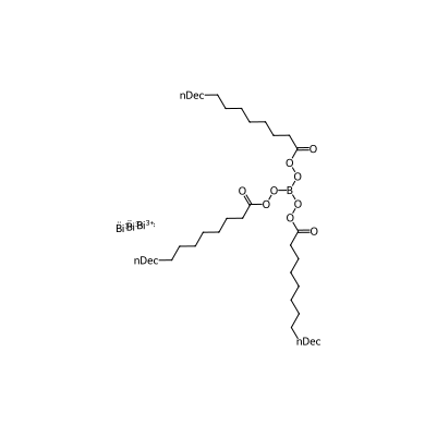 CCCCCCCCCCCCCCCCCC(=O)OOB(OOC(=O)CCCCCCCCCCCCCCCCC)OOC(=O)CCCCCCCCCCCCCCCCC.[Bi+3].[Bi+3].[Bi+3]